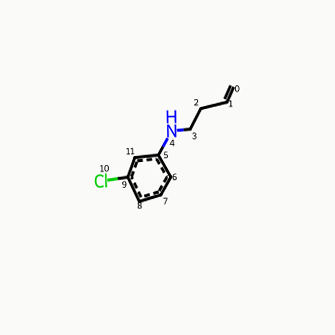 C=CCCNc1cccc(Cl)c1